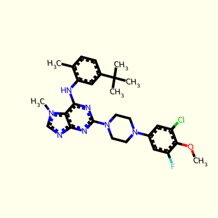 COc1c(F)cc(N2CCN(c3nc(Nc4cc(C(C)(C)C)ccc4C)c4c(ncn4C)n3)CC2)cc1Cl